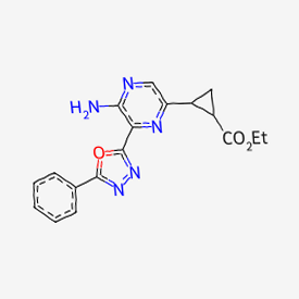 CCOC(=O)C1CC1c1cnc(N)c(-c2nnc(-c3ccccc3)o2)n1